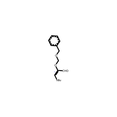 CCCC/C=C(\C=O)OCOCc1ccccc1